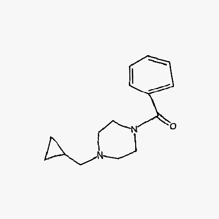 O=C(c1ccccc1)N1CCN(CC2CC2)CC1